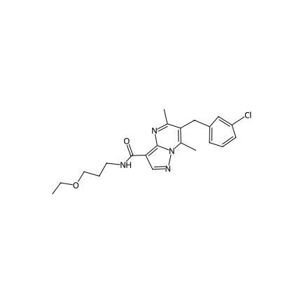 CCOCCCNC(=O)c1cnn2c(C)c(Cc3cccc(Cl)c3)c(C)nc12